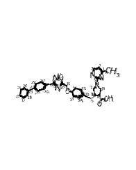 Cc1ccnc(N2C[C@@H](Cc3ccc(OCc4nc(-c5ccc(-c6ccccc6)cc5)no4)cc3)[C@@H](C(=O)O)C2)n1